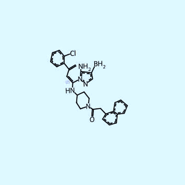 Bc1cnn(/C(=C\C(=C)c2ccccc2Cl)NC2CCN(C(=O)Cc3cccc4ccccc34)CC2)c1N